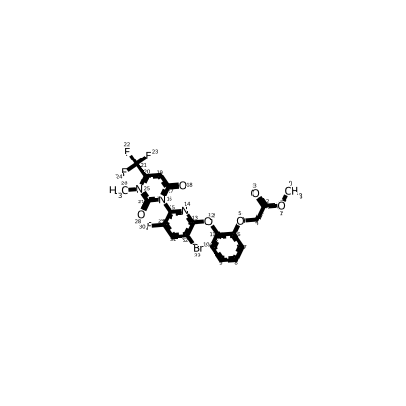 COC(=O)COc1ccccc1Oc1nc(-n2c(=O)cc(C(F)(F)F)n(C)c2=O)c(F)cc1Br